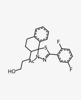 CC(=O)N1N=C(c2cc(F)ccc2F)SC12c1ccccc1CCC2CCCO